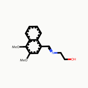 COc1cc(/C=N/CCO)c2ccccc2c1OC